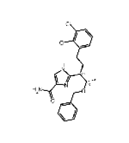 C[C@H](OCc1ccccc1)[C@H](CCc1cccc(Cl)c1Cl)c1nc(C(N)=O)c[nH]1